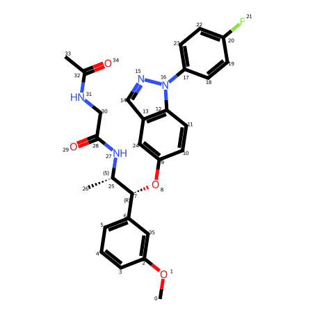 COc1cccc([C@@H](Oc2ccc3c(cnn3-c3ccc(F)cc3)c2)[C@H](C)NC(=O)CNC(C)=O)c1